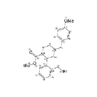 COc1ccc(CN2CCN(C(=O)OC(C)(C)C)C(c3ccccc3CC(C)C)C2)cc1